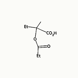 CCC(=O)OC(C)(CC)C(=O)O